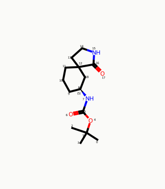 CC(C)(C)OC(=O)N[C@H]1CCCC2(CCNC2=O)C1